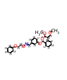 COC=C(C(=O)OC)c1ccccc1COc1cccc(C=NOCCOc2ccccc2)c1